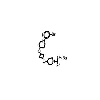 CC(C)(C)OC(=O)N1CCC(OC2CC(OC3CCN(c4cc(Br)ccn4)CC3)C2)CC1